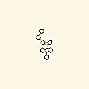 c1ccc(-c2c3ccccc3c(-n3c4ccccc4c4cc(-c5cccc6c5sc5ccccc56)ccc43)c3ccccc23)cc1